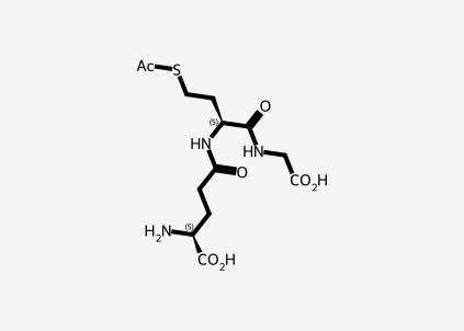 CC(=O)SCC[C@H](NC(=O)CC[C@H](N)C(=O)O)C(=O)NCC(=O)O